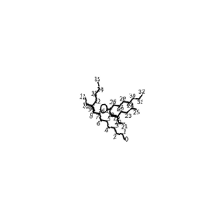 CCCCCCCC(C=C(CC)CCCC)OC(C=C(CC)CCCC)CCCCCCC